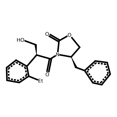 CCc1ccccc1[C@@H](CO)C(=O)N1C(=O)OC[C@H]1Cc1ccccc1